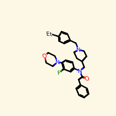 CCc1ccc(CN2CCC(CN(C(=O)Cc3ccccc3)c3ccc(N4CCOCC4)c(F)c3)CC2)cc1